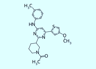 COc1csc(-c2cc(Nc3cccc(C)c3)nc(C3CCCN(C(C)=O)C3)n2)c1